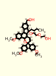 CCCCC1(OCCOCCO)c2cc(CO)ccc2-c2c1c1c(c3cc(OC)ccc23)OC(c2ccc(OC)cc2)(c2ccc(OC)cc2)C=C1